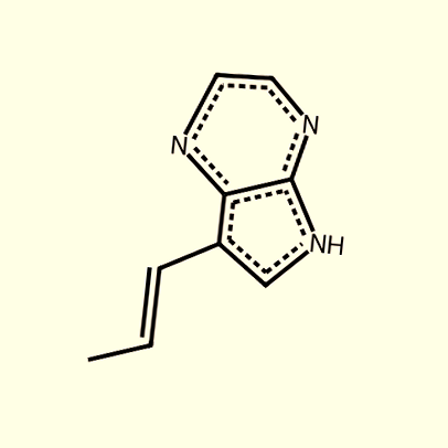 C/C=C/c1c[nH]c2nccnc12